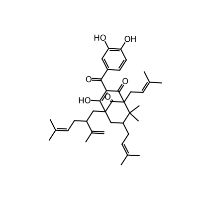 C=C(C)C(CC=C(C)C)CC12CC(CC=C(C)C)C(C)(C)C(CC=C(C)C)(C(=O)C(C(=O)c3ccc(O)c(O)c3)=C1O)C2=O